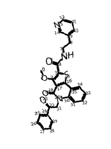 COc1c(C(=O)NCCc2cccnc2)sc2c1c(=O)n(CC(=O)c1ccccc1)c1ccccc21